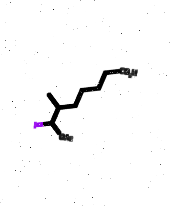 CC(=O)OC(I)C(C)CCCCC(=O)O